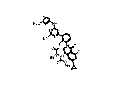 CC(C)[C@H](NC(=O)OC(C)(C)C)C(=O)OCc1c(-c2nc(N)nc(Nc3cnn(C)c3)n2)cccc1-n1ccc2cc(C3CC3)cc(F)c2c1=O